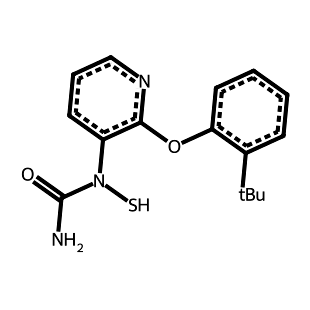 CC(C)(C)c1ccccc1Oc1ncccc1N(S)C(N)=O